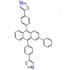 c1ccc(-c2ccc3c(-c4ccc(-c5cncs5)cc4)c4ccccc4c(-c4ccc(-c5cncs5)cc4)c3c2)cc1